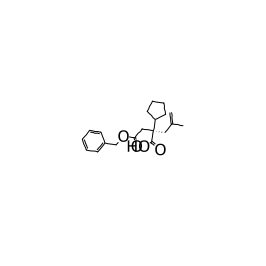 C=C(C)C[C@@](CC(=O)OCc1ccccc1)(C(=O)O)C1CCCC1